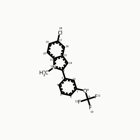 Cn1c(-c2cccc(OC(F)(F)F)c2)cc2cc(Cl)ccc21